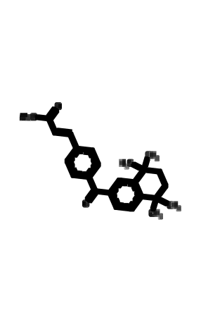 COC(=O)/C=C/c1ccc(C(=O)c2ccc3c(c2)C(C)(C)CCC3(C)C)cc1